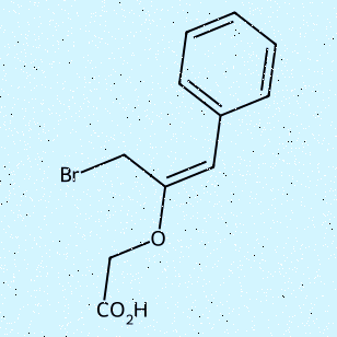 O=C(O)CO/C(=C/c1ccccc1)CBr